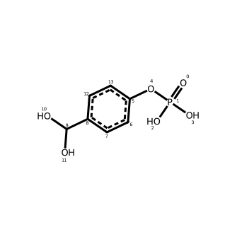 O=P(O)(O)Oc1ccc(C(O)O)cc1